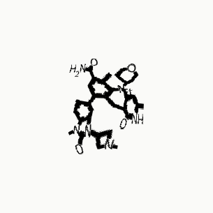 CCN(c1c(C)c(C(N)=O)cc(-c2ccc3c(c2)n(C2CN(C)C2)c(=O)n3C)c1Cc1c(C)cc(C)[nH]c1=O)C1CCOCC1